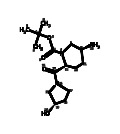 CC(C)(C)OC(=O)N1C[C@@H](N)CC[C@H]1C(=O)N1CC[C@H](O)C1